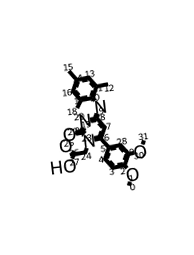 COc1ccc(-c2c/c(=N/c3c(C)cc(C)cc3C)n(C)c(=O)n2CC(=O)O)cc1OC